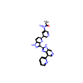 CCCCC(=O)Nc1cncc(-c2ccc3[nH]nc(-c4nc5c(-c6ccccn6)cncc5[nH]4)c3n2)c1